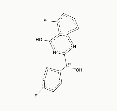 Oc1nc([C@H](O)c2ccc(F)cc2)nc2cccc(F)c12